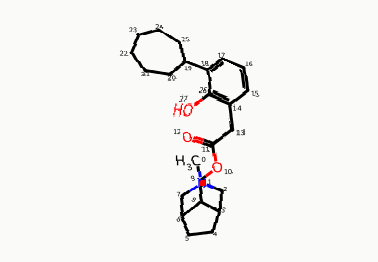 CN1CC2CCC(C1)C2COC(=O)Cc1cccc(C2CCCCCC2)c1O